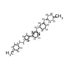 Cc1ccc(CCc2ccc(-c3ccnc(Cc4cccc(CC5CCC(C)CC5)c4)n3)s2)cc1